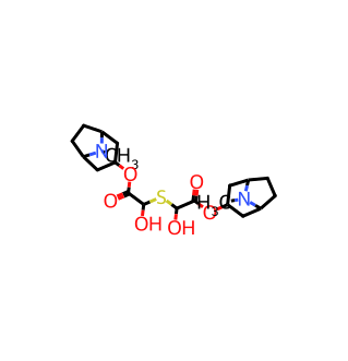 CN1C2CCC1CC(OC(=O)C(O)SC(O)C(=O)OC1CC3CCC(C1)N3C)C2